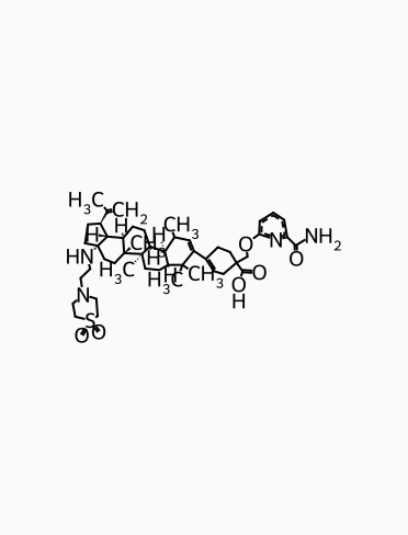 C=C(C)[C@@H]1CC[C@]2(NCCN3CCS(=O)(=O)CC3)CC[C@]3(C)[C@H](CC[C@@H]4[C@H]5C(C)C=C(C6=CCC(COc7cccc(C(N)=O)n7)(C(=O)O)CC6)C(C)(C)[C@@H]5CC[C@]43C)[C@@H]12